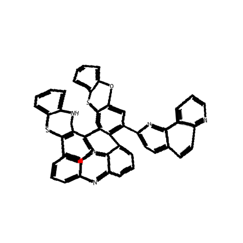 c1ccc2c(c1)Nc1c(cccc1-c1c3c(cc(-c4ccc5ccc6ncccc6c5n4)c1-c1cccc4nc5ccccc5nc14)Oc1ccccc1S3)S2